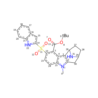 Cn1c2c(c3c(C(=O)OC(C)(C)C)c(S(=O)(=O)c4cc5ccccc5[nH]4)ccc31)C1CCC(C2)N1